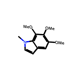 COc1cc2ccn(C)c2c(OC)c1OC